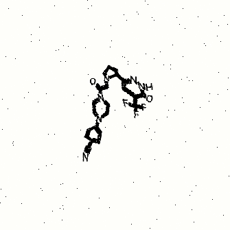 N#Cc1ccc(N2CCN(C(=O)CN3CCCC3c3cc(C(F)(F)F)c(=O)[nH]n3)CC2)cc1